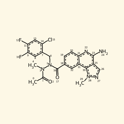 CC(=O)N(C)N(Cc1cc(F)c(F)cc1Cl)C(=O)c1ccc2nc(N)c3cnn(C)c3c2c1